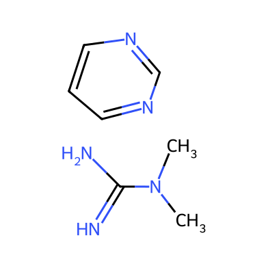 CN(C)C(=N)N.c1cncnc1